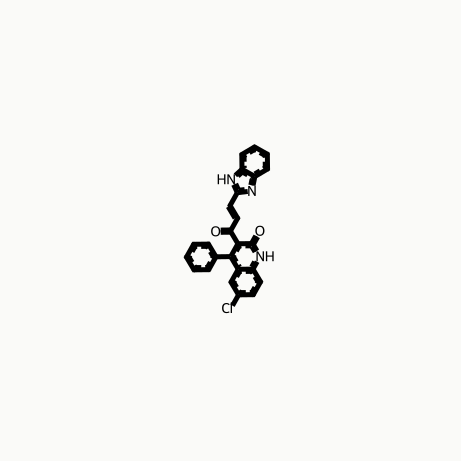 O=C(/C=C/c1nc2ccccc2[nH]1)c1c(-c2ccccc2)c2cc(Cl)ccc2[nH]c1=O